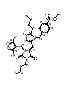 CCCCc1ncc(/C=C2/C(=O)N(CCCC)C(=O)N2Cc2c(C)noc2C)n1Cc1ccc(C(=O)OC)cc1